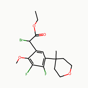 CCOC(=O)C(Br)c1cc(C2(C)CCOCC2)c(F)c(F)c1OC